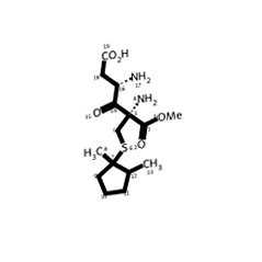 COC(=O)[C@@](N)(CSC1(C)CCCC1C)C(=O)[C@@H](N)CC(=O)O